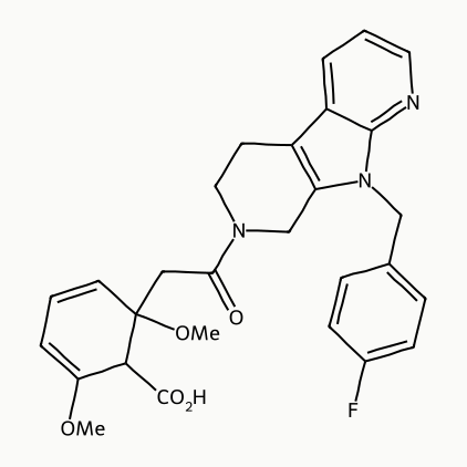 COC1=CC=CC(CC(=O)N2CCc3c(n(Cc4ccc(F)cc4)c4ncccc34)C2)(OC)C1C(=O)O